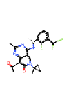 CC(=O)c1c(=O)n(C2(C)CC2)cc2c(N[C@H](C)c3cccc(C(F)F)c3F)nc(C)nc12